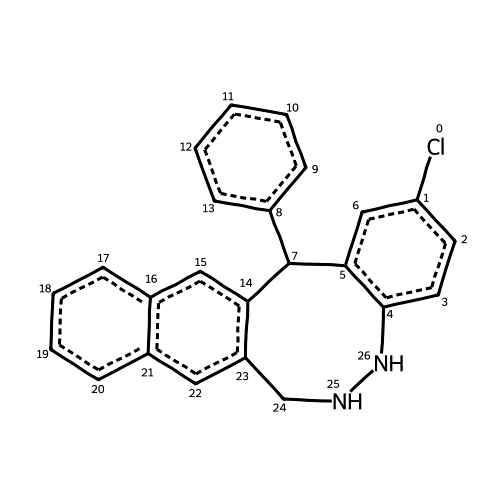 Clc1ccc2c(c1)C(c1ccccc1)c1cc3ccccc3cc1CNN2